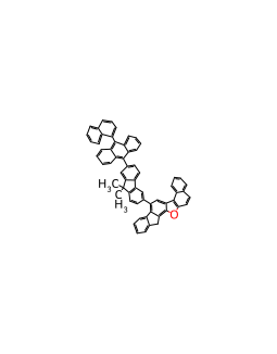 CC1(C)c2ccc(-c3cc4c(oc5ccc6ccccc6c54)c4c3-c3ccccc3C4)cc2-c2ccc(-c3c4ccccc4c(-c4cccc5ccccc45)c4ccccc34)cc21